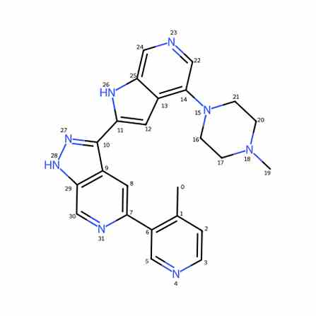 Cc1ccncc1-c1cc2c(-c3cc4c(N5CCN(C)CC5)cncc4[nH]3)n[nH]c2cn1